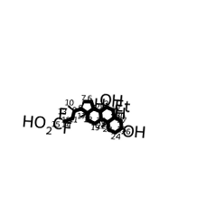 CC[C@H]1[C@@H](O)[C@H]2C3CC[C@H]([C@H](C)CC(F)(F)C(=O)O)[C@@]3(C)CCC2[C@@]2(C)CC[C@@H](O)C[C@@H]12